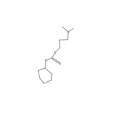 CN(C)CCCOC(=S)OC1CCCCC1